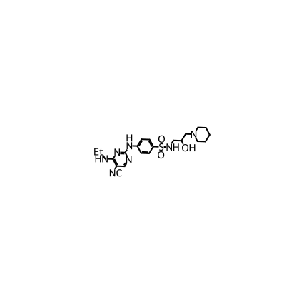 CCNc1nc(Nc2ccc(S(=O)(=O)NCC(O)CN3CCCCC3)cc2)ncc1C#N